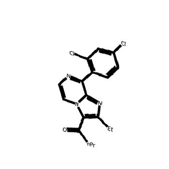 CCCC(=O)c1c(CC)nc2c(-c3ccc(Cl)cc3Cl)nccn12